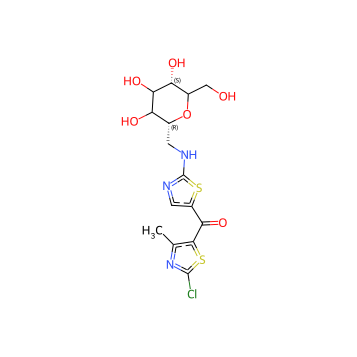 Cc1nc(Cl)sc1C(=O)c1cnc(NC[C@H]2OC(CO)[C@@H](O)C(O)C2O)s1